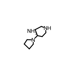 C1CCN(C2CCNCC2)C1.N